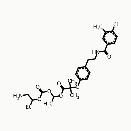 CCC(CN)OC(=O)OC(C)OC(=O)C(C)(C)Oc1ccc(CCNC(=O)c2ccc(Cl)c(C)c2)cc1